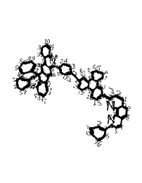 c1ccc(-c2ccc3ccc4ccc(-c5ccc6c7ccc(-c8ccc(-c9nc%10ccccc%10c%10cc%11c(cc9%10)-c9ccccc9C%11(c9ccccc9)c9ccccc9)cc8)cc7c7ccccc7c6c5)nc4c3n2)cc1